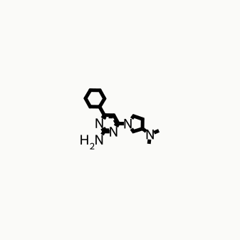 CN(C)C1CCN(c2cc(C3CCCCC3)nc(N)n2)C1